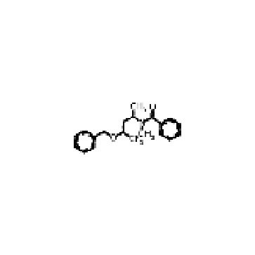 CC(CC(OCc1ccccc1)C(F)(F)F)N(C)C(=O)c1ccccc1